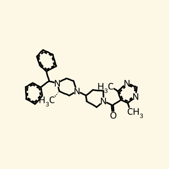 Cc1ncnc(C)c1C(=O)N1CCC(N2CCN(C(c3ccccc3)c3ccccc3)[C@@H](C)C2)CC1